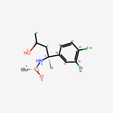 CC(O)C[C@](C)(N[S@+]([O-])C(C)(C)C)c1ccc(F)c(Br)c1